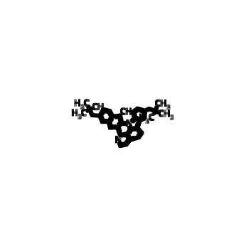 Cc1c2ccc(CC(C)(C)C)cc2cc2c3nccc4ccc5c6cc(CC(C)(C)C)ccc6n(c12)c5c43